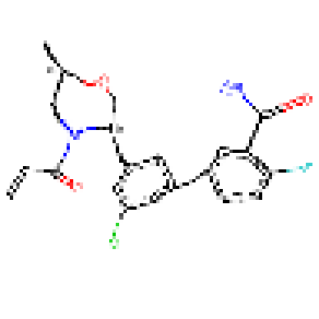 C=CC(=O)N1C[C@@H](C)OC[C@H]1c1cc(Cl)cc(-c2ccc(F)c(C(N)=O)c2)c1